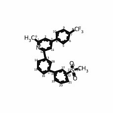 Cc1cc(-c2ccc(C(F)(F)F)cc2)cc(-c2cccc(-c3cccc(S(C)(=O)=O)c3)c2)n1